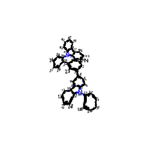 N#Cc1cc(-c2ccc3c(c2)c2ccccc2n3-c2ccccc2)cc(-c2ccccc2-n2c3ccccc3c3ccccc32)c1